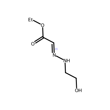 CCOC(=O)/C=N/NCCO